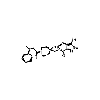 CC(C)c1c2ncn(CC3(O)CCN(C(=O)CC(C)c4ccccc4)CC3)c(=O)c2nn1C